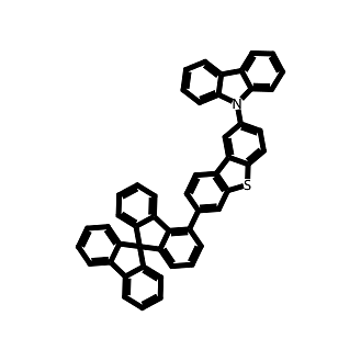 c1ccc2c(c1)-c1ccccc1C21c2ccccc2-c2c(-c3ccc4c(c3)sc3ccc(-n5c6ccccc6c6ccccc65)cc34)cccc21